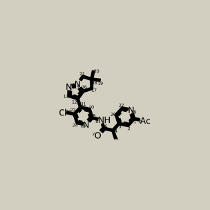 CC(=O)c1cc(C(C)C(=O)Nc2cc(-c3cnn4c3CC(C)(C)C4)c(Cl)cn2)ccn1